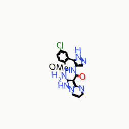 COc1ccc(Cl)cc1-c1[nH]ncc1NC(=O)C1=C2N=CC=CN2NC1N